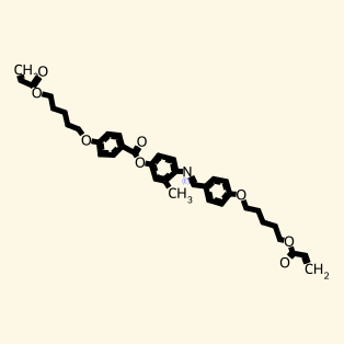 C=CC(=O)OCCCCCOc1ccc(/C=N/c2ccc(OC(=O)c3ccc(OCCCCCOC(=O)C=C)cc3)cc2C)cc1